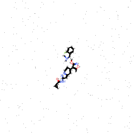 Cc1onc(OC[C@@H](c2ccccc2F)N(C)C)c1-c1ccn2nc(NC(=O)C3CC3)cc2c1